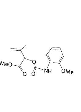 C=C(C)C(OC(=O)Nc1ccccc1OC)C(=O)OC